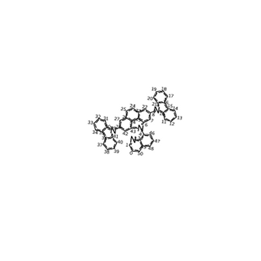 c1cnc2c(-n3c4cc(-n5c6ccccc6c6ccccc65)cc5ccc6cc(-n7c8ccccc8c8ccccc87)cc3c6c54)cccc2c1